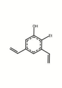 C=Cc1cc(O)c(CC)c(C=C)c1